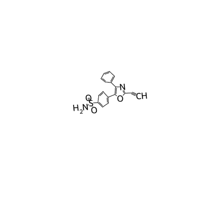 C#Cc1nc(-c2ccccc2)c(-c2ccc(S(N)(=O)=O)cc2)o1